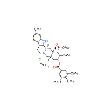 C=CCl.COC(=O)[C@H]1[C@H]2C[C@@H]3c4[nH]c5cc(OC)ccc5c4CCN3C[C@H]2C[C@@H](OC(=O)c2cc(OC)c(OC)c(OC)c2)[C@@H]1OC